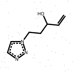 C=CC(O)CCn1ccnn1